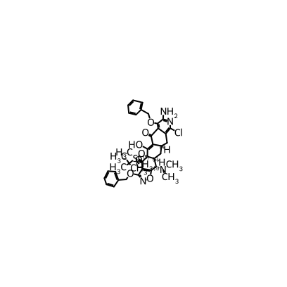 CN(C)[C@@H]1c2onc(OCc3ccccc3)c2C(=O)[C@@]2(O[Si](C)(C)C(C)(C)C)C(O)=C3C(=O)c4c(c(Cl)nc(N)c4OCc4ccccc4)C[C@H]3C[C@@H]12